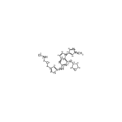 CCNCOCc1csc(Nc2nc(O[C@H]3CCOC3)c3c(ccn3-c3cnn(C)c3)n2)c1